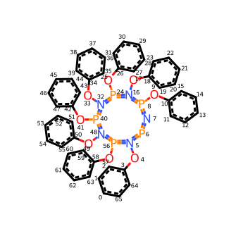 c1ccc(On2pnp(Oc3ccccc3)n(Oc3ccccc3)p(Oc3ccccc3)n(Oc3ccccc3)p(Oc3ccccc3)n(Oc3ccccc3)p2Oc2ccccc2)cc1